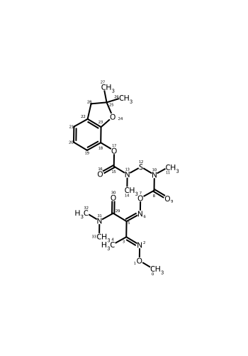 CON=C(C)C(=NOC(=O)N(C)SN(C)C(=O)Oc1cccc2c1OC(C)(C)C2)C(=O)N(C)C